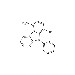 Nc1ccc(Br)c2c1c1ccccc1n2-c1ccccc1